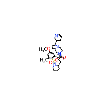 COc1cc(C)c(S(=O)(=O)N2CCCCC2CCC(=O)N2CCn3c(ccc3-c3cccnc3)C2)c(C)c1